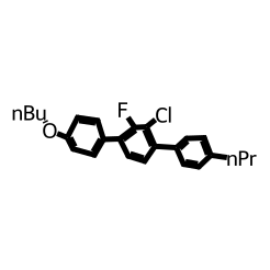 CCCCOc1ccc(-c2ccc(-c3ccc(CCC)cc3)c(Cl)c2F)cc1